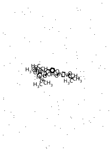 CCN(CC)c1ncc(N(C(C)C)S(C)(=O)=O)c(N[C@@H](Cc2ccc(OC(=O)N3CCN(C(=O)CC(C)(C)C)CC3)cc2)C(=O)O)n1